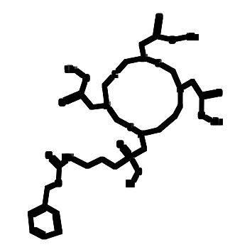 CCOP(=O)(CCCNC(=O)OCc1ccccc1)CN1CCCN(CC(=O)OC(C)(C)C)CCN(CC(=O)OC(C)(C)C)CCCN(CC(=O)OC(C)(C)C)CC1